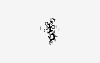 CC(C)OC(=O)C(C)(C)c1cn2nc(Cl)ccc2n1